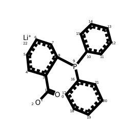 O=C([O-])c1ccccc1P(c1ccccc1)c1ccccc1.[Li+]